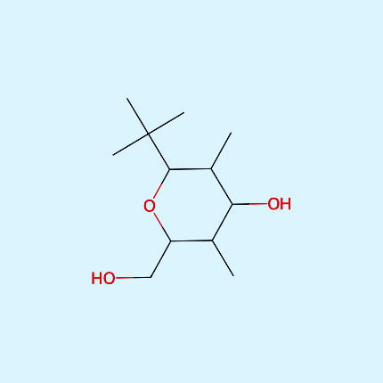 CC1C(CO)OC(C(C)(C)C)C(C)C1O